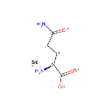 NC(=O)CC[C@H](N)C(=O)O.[Sn]